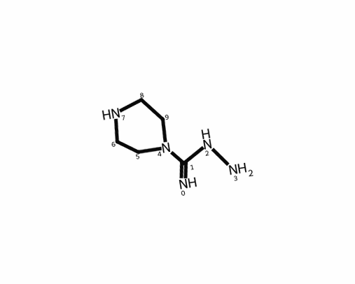 N=C(NN)N1CCNCC1